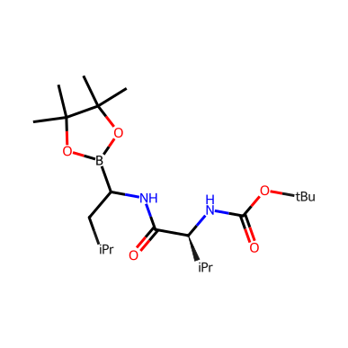 CC(C)CC(NC(=O)[C@@H](NC(=O)OC(C)(C)C)C(C)C)B1OC(C)(C)C(C)(C)O1